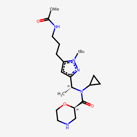 COC(=O)NCCCc1cc([C@@H](C)N(C(=O)[C@H]2CNCCO2)C2CC2)nn1C(C)(C)C